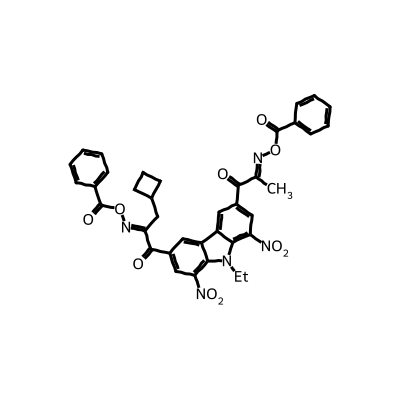 CCn1c2c([N+](=O)[O-])cc(C(=O)/C(C)=N/OC(=O)c3ccccc3)cc2c2cc(C(=O)/C(CC3CCC3)=N/OC(=O)c3ccccc3)cc([N+](=O)[O-])c21